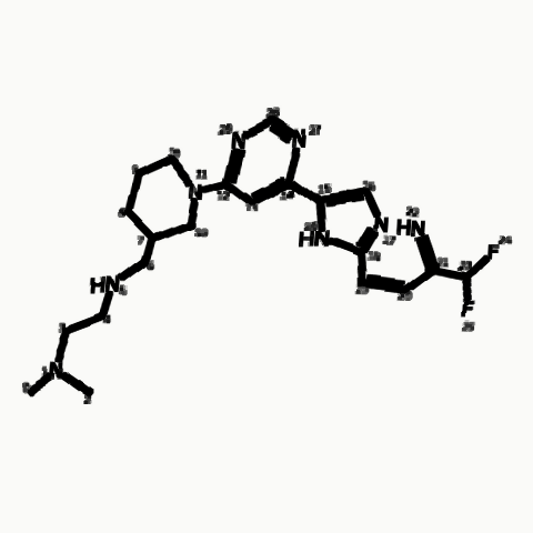 CN(C)CCNCC1CCCN(c2cc(-c3cnc(/C=C\C(=N)C(F)F)[nH]3)ncn2)C1